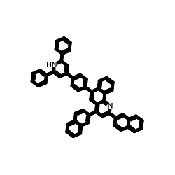 C1=C(c2ccc(-c3cc4c(-c5ccc6ccccc6c5)cc(-c5ccc6ccccc6c5)nc4c4ccccc34)cc2)C=C(c2ccccc2)NC1c1ccccc1